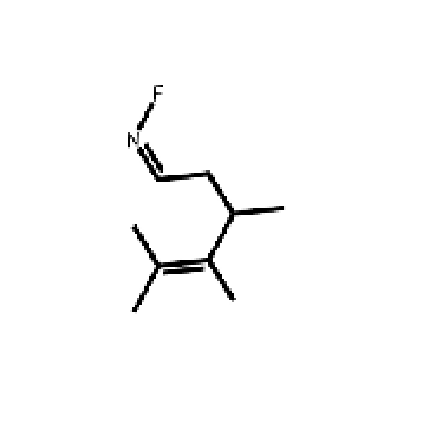 CC(C)=C(C)C(C)C/C=N\F